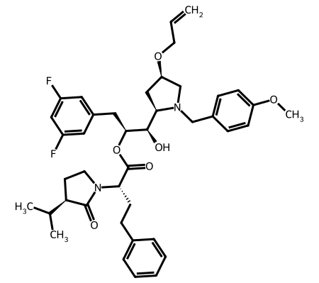 C=CCO[C@@H]1C[C@H]([C@@H](O)[C@H](Cc2cc(F)cc(F)c2)OC(=O)[C@H](CCc2ccccc2)N2CC[C@H](C(C)C)C2=O)N(Cc2ccc(OC)cc2)C1